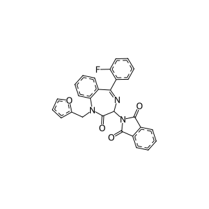 O=C1C(N2C(=O)c3ccccc3C2=O)N=C(c2ccccc2F)c2ccccc2N1Cc1ccco1